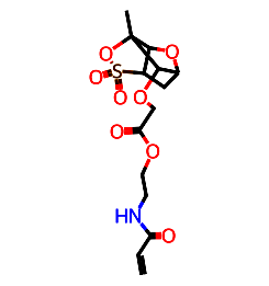 C=CC(=O)NCCOC(=O)COC1C2CC3C(O2)C1(C)OS3(=O)=O